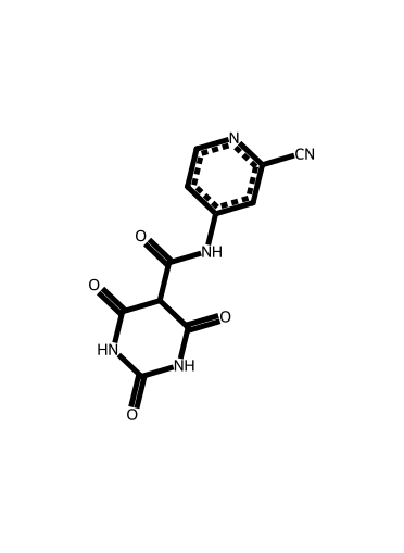 N#Cc1cc(NC(=O)C2C(=O)NC(=O)NC2=O)ccn1